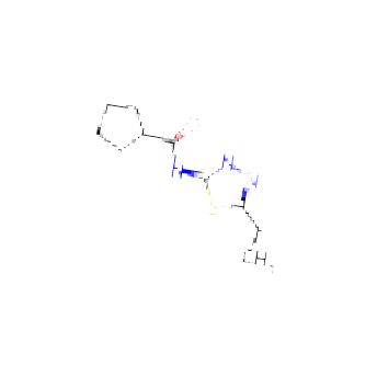 CCC1=N[N]C(=NC(=O)C2CCCC2)S1